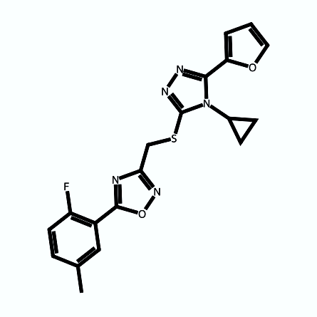 Cc1ccc(F)c(-c2nc(CSc3nnc(-c4ccco4)n3C3CC3)no2)c1